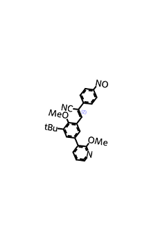 COc1ncccc1-c1cc(/C=C(\C#N)c2ccc(N=O)cc2)c(OC)c(C(C)(C)C)c1